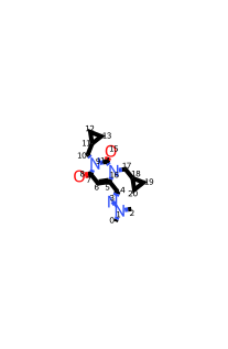 CN(C)/N=C/c1cc(=O)n(CC2CC2)c(=O)n1CC1CC1